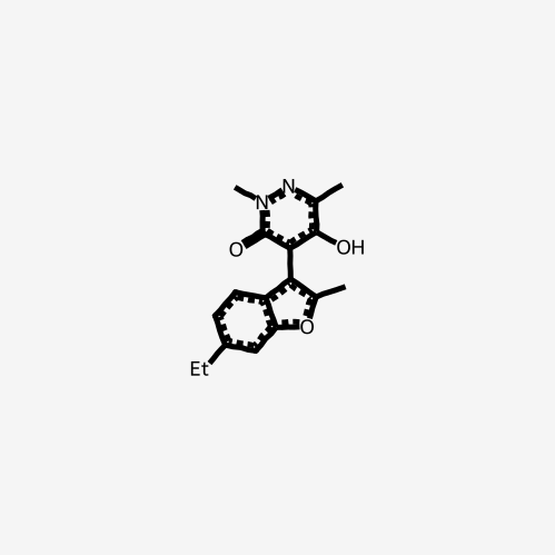 CCc1ccc2c(-c3c(O)c(C)nn(C)c3=O)c(C)oc2c1